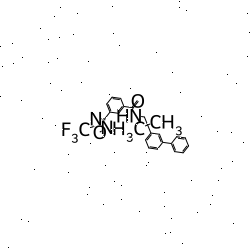 CC(C)(CNC(=O)c1cccc(-c2noc(C(F)(F)F)n2)c1)c1cccc(-c2ccccc2)c1